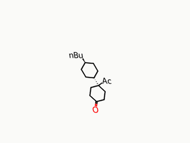 CCCC[C@H]1CC[C@H](C2(C(C)=O)CCC(=O)CC2)CC1